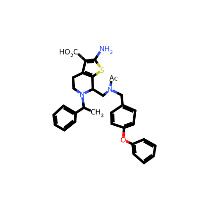 CC(=O)N(Cc1ccc(Oc2ccccc2)cc1)CC1c2sc(N)c(C(=O)O)c2CCN1C(C)c1ccccc1